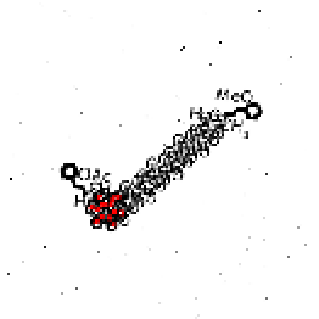 COc1ccccc1CCC[Si](C)(C)[Si](=O)[Si](=O)[Si](=O)[Si](=O)[Si](=O)[Si](=O)[Si](=O)[Si](=O)[Si](=O)[Si](=O)[Si](=O)[Si](=O)[Si](=O)[Si](=O)[Si](=O)[Si](=O)[Si](=O)[Si](=O)[Si](=O)[Si](=O)[Si](=O)[Si](=O)[Si](=O)[Si](=O)[Si](=O)[Si](=O)[Si](=O)[Si](=O)[Si](=O)[Si](=O)[Si](=O)[Si](=O)[Si](=O)[Si](=O)[Si](=O)[Si](=O)[Si](=O)[SiH2]O[Si](C)(C)CCCc1ccccc1OC(C)=O